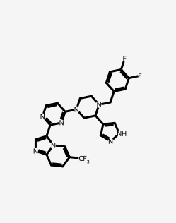 Fc1ccc(CN2CCN(c3ccnc(-c4cnc5ccc(C(F)(F)F)cn45)n3)CC2c2cn[nH]c2)cc1F